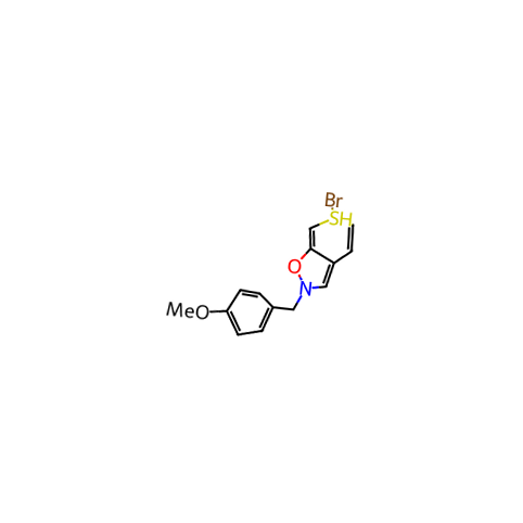 COc1ccc(CN2C=C3C=C[SH](Br)C=C3O2)cc1